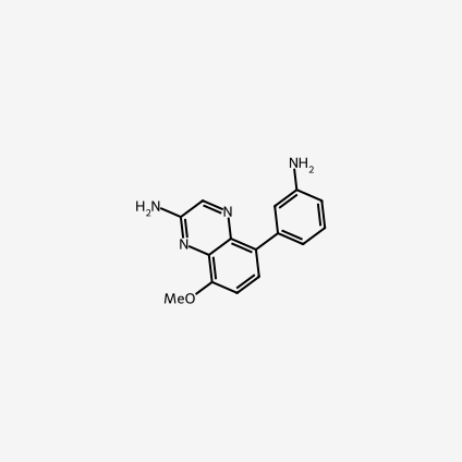 COc1ccc(-c2cccc(N)c2)c2ncc(N)nc12